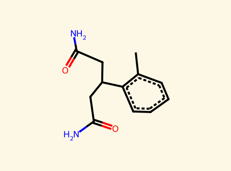 Cc1ccccc1C(CC(N)=O)CC(N)=O